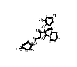 N#CC(Oc1ccc(Cl)cc1Cl)(C(=O)CCOc1ccc(Cl)cc1F)C(=O)N1CCCCC1